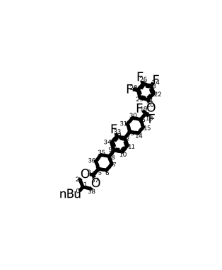 CCCCC1COC(C2CCC(c3ccc(C4CCC(C(F)(F)Oc5cc(F)c(F)c(F)c5)CC4)c(F)c3)CC2)OC1